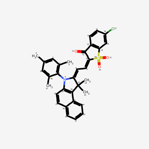 Cc1cc(C)c(N2/C(=C/C=C3\C(=O)c4ccc(Cl)cc4S3(=O)=O)C(C)(C)c3c2ccc2ccccc32)c(C)c1